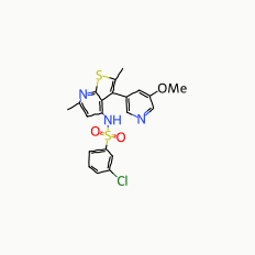 COc1cncc(-c2c(C)sc3nc(C)cc(NS(=O)(=O)c4cccc(Cl)c4)c23)c1